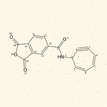 O=C(NC1C#CC=CC=C1)c1ccc2c(c1)C(=O)OC2=O